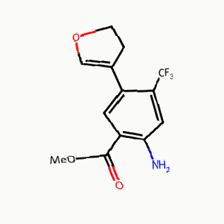 COC(=O)c1cc(C2=COCC2)c(C(F)(F)F)cc1N